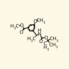 COC(=O)c1cc(OC)cc(C(C)NC(=O)OC(C)(C)C)c1